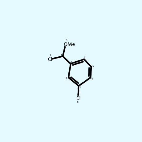 COC(Cl)c1cccc(Cl)c1